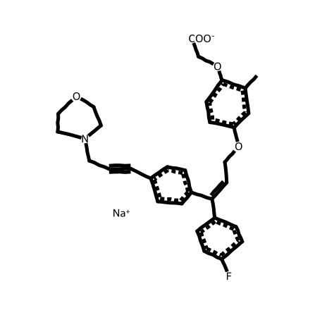 Cc1cc(OCC=C(c2ccc(F)cc2)c2ccc(C#CCN3CCOCC3)cc2)ccc1OCC(=O)[O-].[Na+]